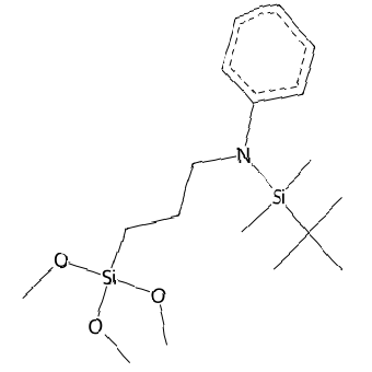 CO[Si](CCCN(c1ccccc1)[Si](C)(C)C(C)(C)C)(OC)OC